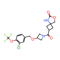 O=C1NC2(CO1)CC(C(=O)N1CC(OCc3ccc(OC(F)(F)F)c(Cl)c3)C1)C2